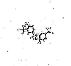 O=C(O)C1C=CC(Cl)(NS(=O)(=O)c2ccc(Cl)c(C(F)(F)F)c2)C=N1